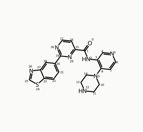 O=C(Nc1cnccc1N1CCNCC1)c1ccnc(-c2ccc3scnc3c2)n1